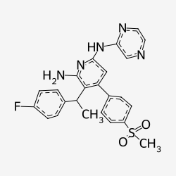 CC(c1ccc(F)cc1)c1c(-c2ccc(S(C)(=O)=O)cc2)cc(Nc2cnccn2)nc1N